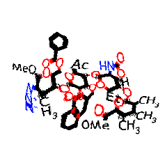 CCC1O[C@@H](O[C@H]2C(C(C)=O)O[C@@H](O[C@@H]3C(COC(=O)c4ccccc4)O[C@H](OC)C(N=[N+]=[N-])[C@H]3C)C(OC(=O)c3ccccc3)[C@@H]2OCc2ccccc2)C2NC(=O)O[C@H]2[C@@H]1O[C@@H]1OC(C(=O)OC)[C@@H](C)[C@H](C)C1C